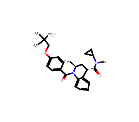 CCN(C(=O)[C@H]1C[C@H](C)N(C(=O)c2ccc(OCC(C)(C)C(=O)O)cc2)c2ccccc21)C1CC1